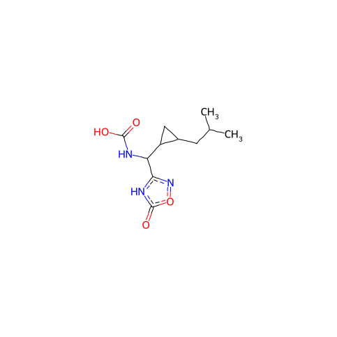 CC(C)CC1CC1C(NC(=O)O)c1noc(=O)[nH]1